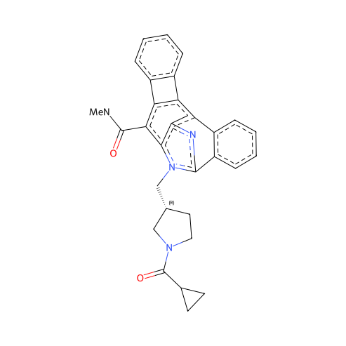 CNC(=O)c1c2c(c3c4nc(n(C[C@@H]5CCN(C(=O)C6CC6)C5)c14)-c1ccccc1-3)-c1ccccc1-2